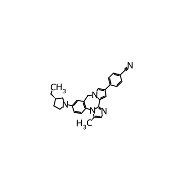 CC[C@@H]1CCN(c2ccc3c(c2)Cn2cc(-c4ccc(C#N)cc4)cc2-c2ncc(C)n2-3)C1